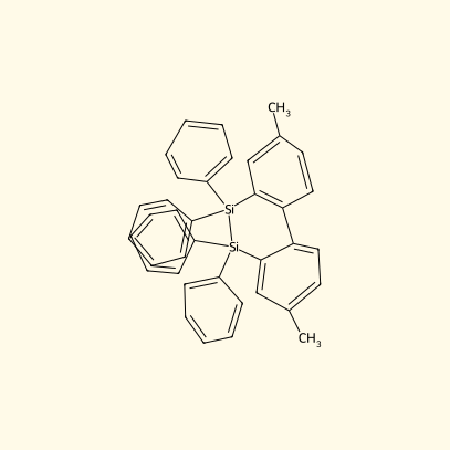 Cc1ccc2c(c1)[Si](c1ccccc1)(c1ccccc1)[Si](c1ccccc1)(c1ccccc1)c1cc(C)ccc1-2